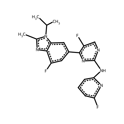 Cc1nc2c(F)cc(-c3nc(Nc4cc[c]c(F)n4)ncc3F)cc2n1C(C)C